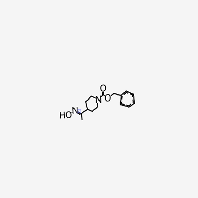 C/C(=N\O)C1CCN(C(=O)OCc2ccccc2)CC1